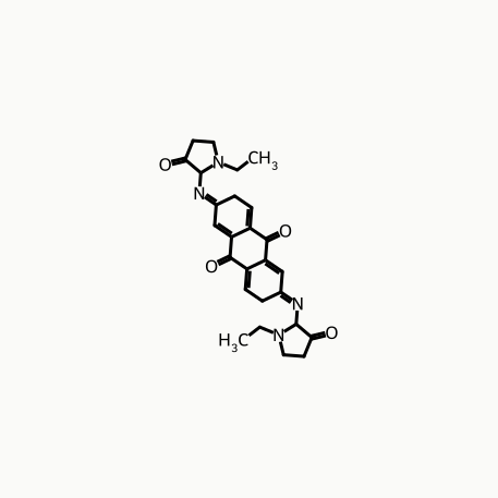 CCN1CCC(=O)C1N=C1C=C2C(=O)C3=CCC(=NC4C(=O)CCN4CC)C=C3C(=O)C2=CC1